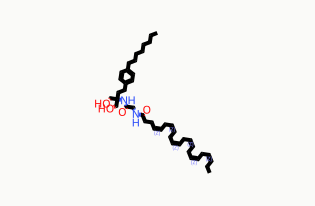 CC/C=C\C/C=C\C/C=C\C/C=C\C/C=C\C/C=C\CCC(=O)NCC(=O)NC(CO)(CO)CCc1ccc(CCCCCCCC)cc1